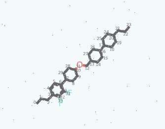 CCCc1ccc(C2CCC(OCC3CCC(C4CCC(CCC)CC4)CC3)CC2)c(F)c1F